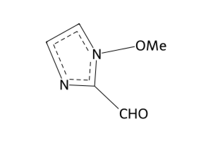 COn1ccnc1C=O